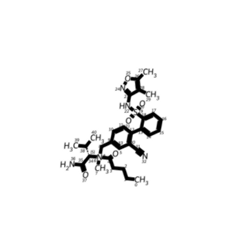 CCCCC(=O)[N+](C)(Cc1ccc(-c2ccccc2S(=O)(=O)Nc2noc(C)c2C)c(C#N)c1)[C@H](C(N)=O)C(C)C